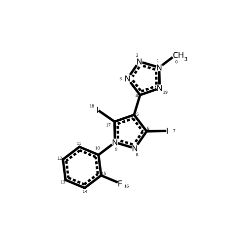 Cn1nnc(-c2c(I)nn(-c3ccccc3F)c2I)n1